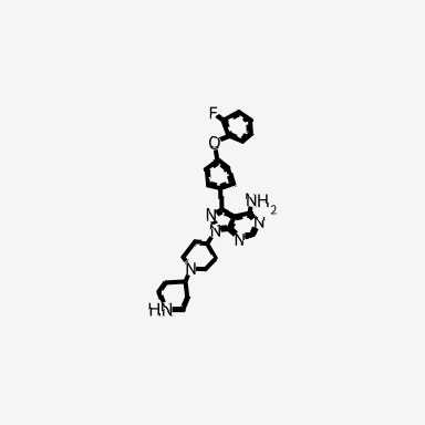 Nc1ncnc2c1c(-c1ccc(Oc3ccccc3F)cc1)nn2C1CCN(C2CCNCC2)CC1